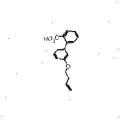 C=CCCOc1cccc(-c2ccccc2C(=O)O)c1